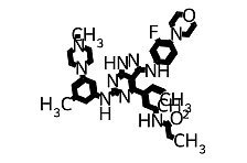 C=C(/C=C(\C=C/C)c1nc(NC2=CC(N3CCN(C)CC3)=CC(C)C2)nc2[nH]nc(Nc3ccc(N4CCOCC4)c(F)c3)c12)NC(=O)CC